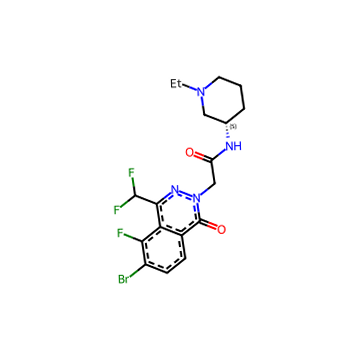 CCN1CCC[C@H](NC(=O)Cn2nc(C(F)F)c3c(F)c(Br)ccc3c2=O)C1